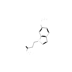 CCCCOc1ccc2ccn(CCC(=O)OC)c2c1